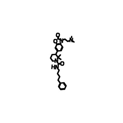 CN(C)CCn1c(=O)oc2cc(C3CCCN(C(=O)NCCCCc4ccccc4)C3(C)C)ccc21